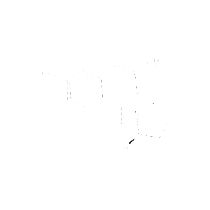 COC(=O)C1C2CC[C@H](C[C@@H]1c1ccc(Cl)cc1)N2C